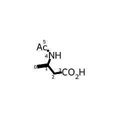 C=C(CC(=O)O)NC(C)=O